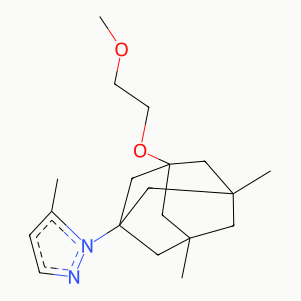 COCCOC12CC3(C)CC(C)(C1)CC(n1nccc1C)(C3)C2